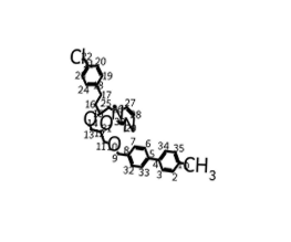 Cc1ccc(-c2ccc(COCC3COC(CCc4ccc(Cl)cc4)(Cn4ccnc4)O3)cc2)cc1